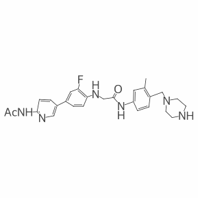 CC(=O)Nc1ccc(-c2ccc(NCC(=O)Nc3ccc(CN4CCNCC4)c(C)c3)c(F)c2)cn1